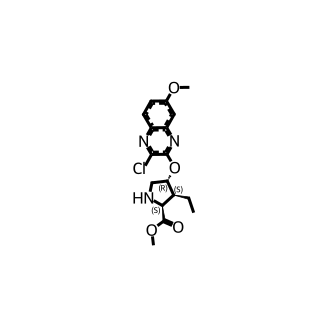 CC[C@@H]1[C@@H](Oc2nc3cc(OC)ccc3nc2Cl)CN[C@@H]1C(=O)OC